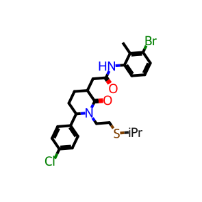 Cc1c(Br)cccc1NC(=O)CC1CCC(c2ccc(Cl)cc2)N(CCSC(C)C)C1=O